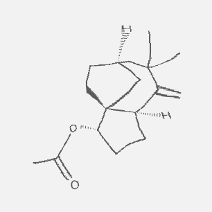 C=C1[C@H]2CC[C@H](OC(C)=O)[C@@]23CC[C@H](C3)C1(C)C